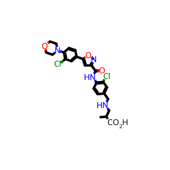 CC(CNCc1ccc(NC(=O)c2cc(-c3ccc(N4CCOCC4)c(Cl)c3)on2)c(Cl)c1)C(=O)O